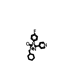 O=c1n(CC2CCCCC2)nc(-c2ccncc2)n1-c1ccc(F)cc1